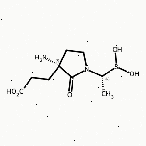 C[C@@H](B(O)O)N1CC[C@](N)(CCC(=O)O)C1=O